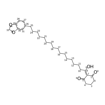 O=C1CCCC(=O)C1=C(O)CCCCCCCCCCCCCCCCc1ccc2c(c1)OCO2